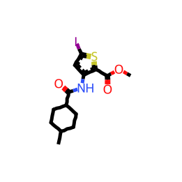 COC(=O)c1sc(I)cc1NC(=O)C1CCC(C)CC1